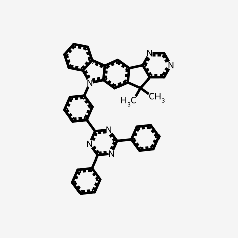 CC1(C)c2cc3c(cc2-c2ncncc21)c1ccccc1n3-c1cccc(-c2nc(-c3ccccc3)nc(-c3ccccc3)n2)c1